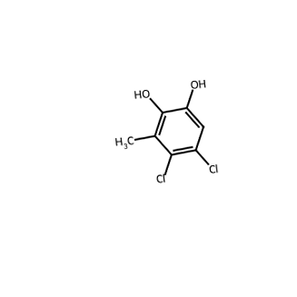 Cc1c(O)c(O)cc(Cl)c1Cl